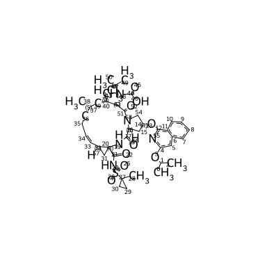 CC(C)Oc1cc2ccccc2c(O[C@@H]2C[C@H]3C(=O)N[C@]4(C(=O)NS(=O)(=O)C5(C)CC5)C[C@H]4C=CCC[C@H](C)C[C@@H](C)[C@H](N(C(=O)O)C(C)(C)C)C(=O)N3C2)n1